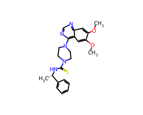 COc1cc2ncnc(N3CCN(C(=S)N[C@@H](C)c4ccccc4)CC3)c2cc1OC